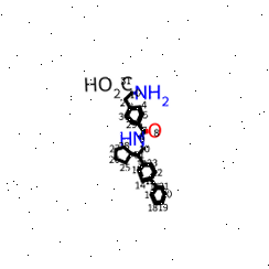 NC(Cc1ccc(C(=O)NCC(c2ccc(-c3ccccc3)cc2)C2CCCC2)cc1)C(=O)O